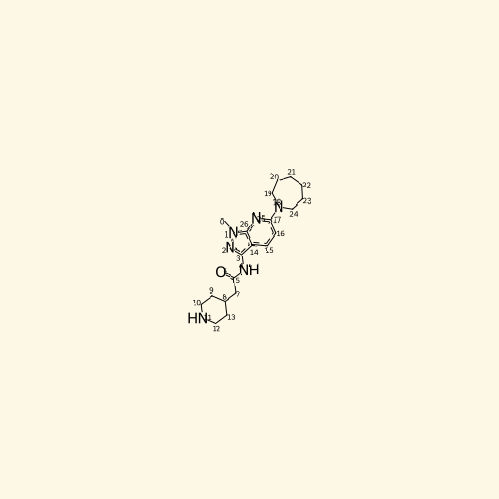 Cn1nc(NC(=O)CC2CCNCC2)c2ccc(N3CCCCCC3)nc21